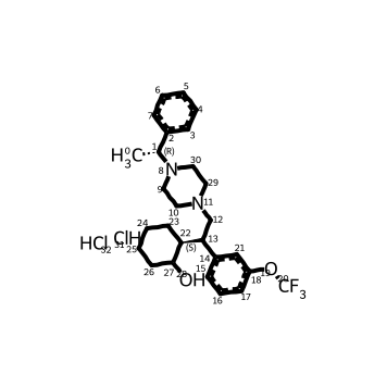 C[C@H](c1ccccc1)N1CCN(CC(c2cccc(OC(F)(F)F)c2)[C@@H]2CCCCC2O)CC1.Cl.Cl